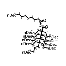 CCCCCCCCCCCCCCCCCC(=O)OC(=O)C(CCCCCCCCCCCC)(CCCCCCCCCCCC)C(CCCCCCCCCCCC)(CCCCCCCCCCCC)C(CCCCCCCCCCCC)(CCCCCCCCCCCC)C(CCCCCCCCCCCC)(CCCCCCCCCCCC)CCCCCCCCCCCCC